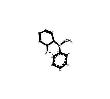 CC1C=CC=CC1N(C)c1ccccc1